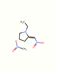 CCN1CCCC1=C[N+](=O)[O-].C[N+](=O)[O-]